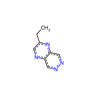 CCc1cnc2cnncc2n1